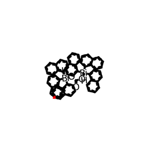 O=C([O][BiH]([c]1cccc2ccccc12)([c]1cccc2ccccc12)[c]1cccc2ccccc12)[O][BiH]([c]1cccc2ccccc12)([c]1cccc2ccccc12)[c]1cccc2ccccc12